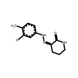 Cc1ccc(N/N=C2/CCCNC2=O)cc1Cl